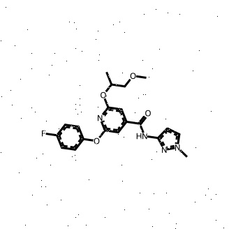 COCC(C)Oc1cc(C(=O)Nc2ccn(C)n2)cc(Oc2ccc(F)cc2)n1